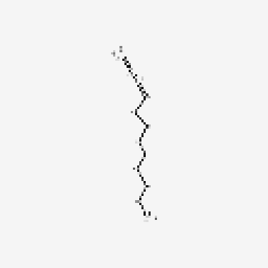 C=C=C=CCCCCCCCC